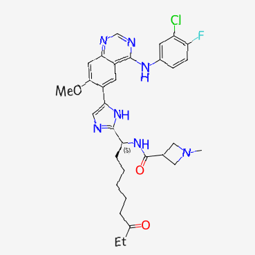 CCC(=O)CCCCC[C@H](NC(=O)C1CN(C)C1)c1ncc(-c2cc3c(Nc4ccc(F)c(Cl)c4)ncnc3cc2OC)[nH]1